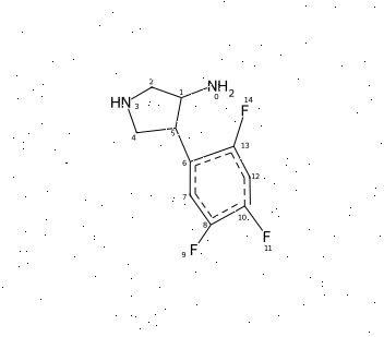 NC1CNCC1c1cc(F)c(F)cc1F